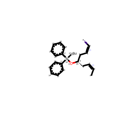 C/C=C\C[C@@H](C/C=C\I)O[Si](c1ccccc1)(c1ccccc1)C(C)(C)C